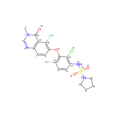 Cn1cnc2ccc(Oc3c(F)ccc(NS(=O)(=O)N4CCCC4)c3Cl)c(F)c2c1=O